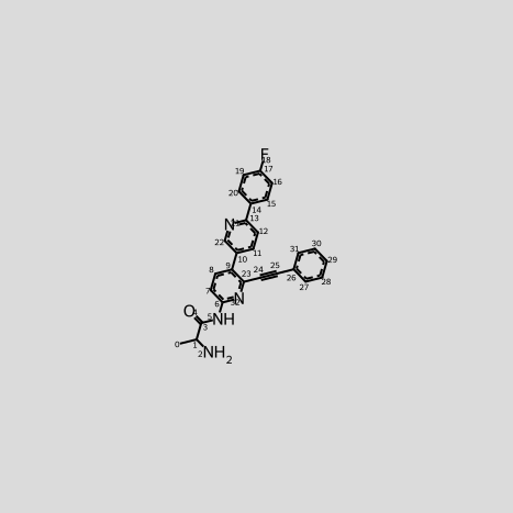 CC(N)C(=O)Nc1ccc(-c2ccc(-c3ccc(F)cc3)nc2)c(C#Cc2ccccc2)n1